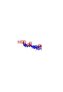 CC(C)(C)OC(=O)NC(=N)N1CCN(CCN2CC(CN3CCN(CC(=O)O)CC3)OC2=O)CC1